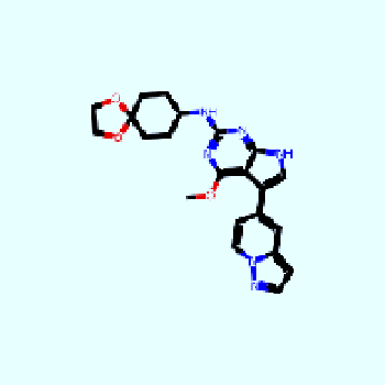 COc1nc(NC2CCC3(CC2)OCCO3)nc2[nH]cc(-c3ccn4nccc4c3)c12